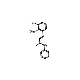 CC(C=Cc1cccc(Cl)c1C=O)Nc1ccccc1